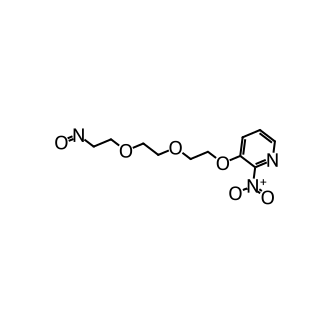 O=NCCOCCOCCOc1cccnc1[N+](=O)[O-]